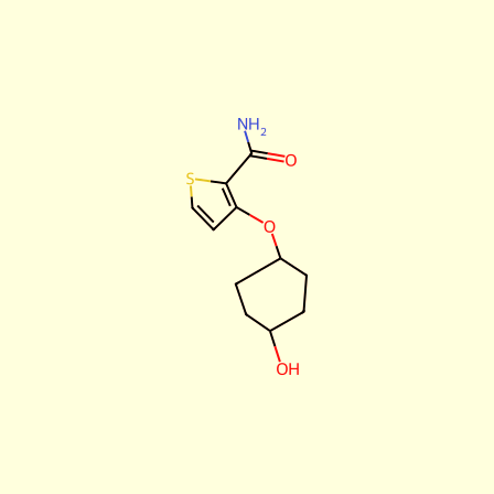 NC(=O)c1sccc1OC1CCC(O)CC1